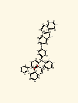 c1ccc(-c2ccc(N(c3ccc(-c4ccc5c(c4)sc4c6ccccc6ccc54)cc3)c3ccccc3-c3ccc4ccccc4c3)cc2)cc1